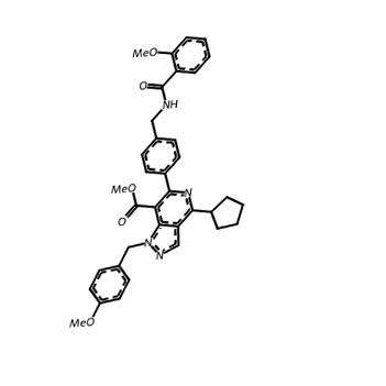 COC(=O)c1c(-c2ccc(CNC(=O)c3ccccc3OC)cc2)nc(C2CCCC2)c2cnn(Cc3ccc(OC)cc3)c12